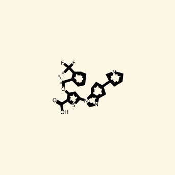 C[C@@H](Oc1cc(-n2cnc3cc(-c4cccnc4)ccc32)sc1C(=O)O)c1ccccc1C(F)(F)F